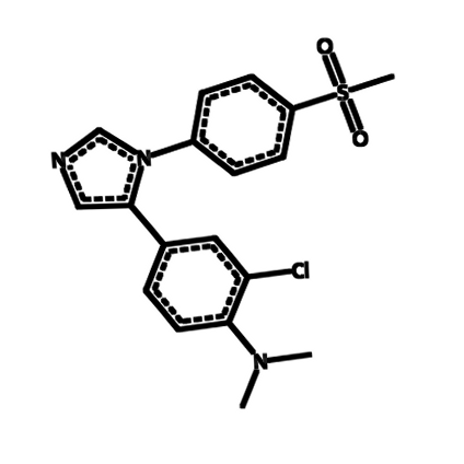 CN(C)c1ccc(-c2cncn2-c2ccc(S(C)(=O)=O)cc2)cc1Cl